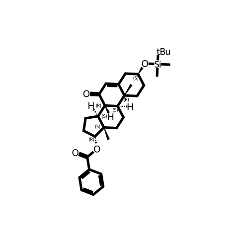 CC(C)(C)[Si](C)(C)O[C@H]1CC[C@@]2(C)C(=CC(=O)[C@H]3[C@@H]4CC[C@@H](OC(=O)c5ccccc5)[C@@]4(C)CC[C@@H]32)C1